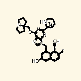 C#Cc1c(F)ccc2cc(O)cc(Cn3cnc4c(OCC56CCCN5CCC6)nc(N5CC6CCC5CN6)nc43)c12